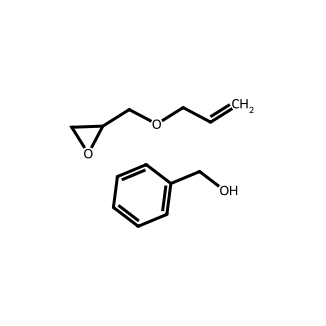 C=CCOCC1CO1.OCc1ccccc1